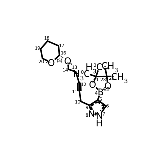 CC1(C)OB(c2c[nH]nc2CC#CCCO[C@H]2CCCCO2)OC1(C)C